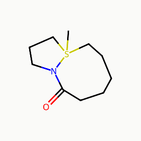 CS12CCCCCC(=O)N1CCC2